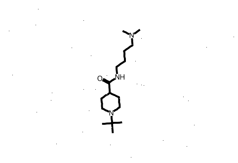 CN(C)CCCCNC(=O)C1CCN(C(C)(C)C)CC1